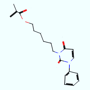 C=C(C)C(=O)OCCCCCCn1c(=O)ccn(-c2ccccc2)c1=O